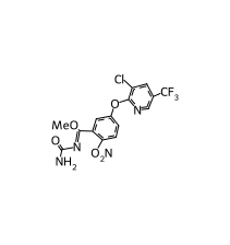 COC(=NC(N)=O)c1cc(Oc2ncc(C(F)(F)F)cc2Cl)ccc1[N+](=O)[O-]